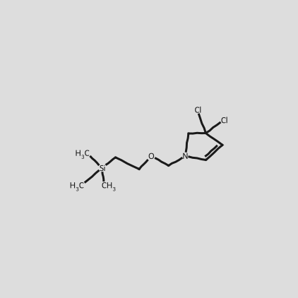 C[Si](C)(C)CCOCN1C=CC(Cl)(Cl)C1